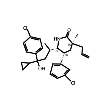 C=CC[C@@]1(C)C[C@H](c2cccc(Cl)c2)[C@H](C(C)CC(O)(c2ccc(Cl)cc2)C2CC2)NC1=O